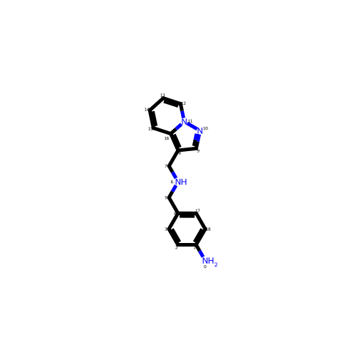 Nc1ccc(CNCc2cnn3ccccc23)cc1